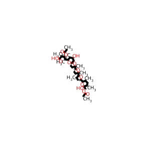 CCC(=O)OC[C@]1(O)O[C@H]([C@H]2C[C@H](C)[C@H]([C@]3(C)CC[C@H]([C@]4(C)CC[C@]5(C[C@H](O)[C@@H](C)[C@@H]([C@@H](C)[C@@H](OC(=O)CC)[C@H](C)C(=O)O)O5)O4)O3)O2)[C@@H](C)C[C@H]1C